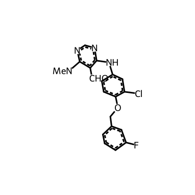 CNc1ncnc(Nc2ccc(OCc3cccc(F)c3)c(Cl)c2)c1C=O